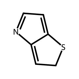 C1=NC2=CCSC2=C1